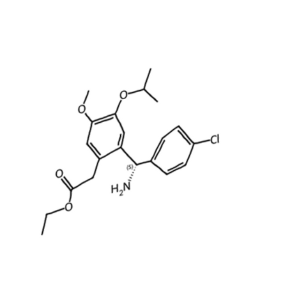 CCOC(=O)Cc1cc(OC)c(OC(C)C)cc1[C@@H](N)c1ccc(Cl)cc1